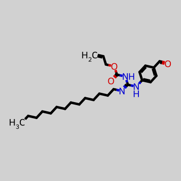 C=CCOC(=O)N/C(=N\CCCCCCCCCCCCCC)Nc1ccc(C=O)cc1